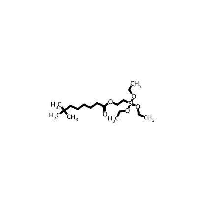 CCO[Si](CCOC(=O)CCCCCC(C)(C)C)(OCC)OCC